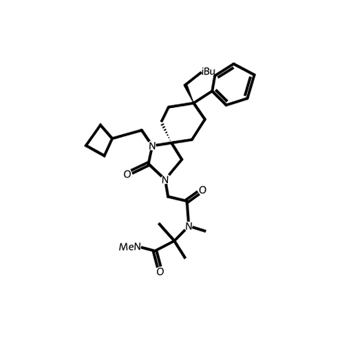 CCC(C)C[C@]1(c2ccccc2)CC[C@]2(CC1)CN(CC(=O)N(C)C(C)(C)C(=O)NC)C(=O)N2CC1CCC1